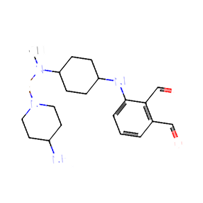 CN(SN1CCC(N)CC1)C1CCC(Nc2cccc(C=O)c2C=O)CC1